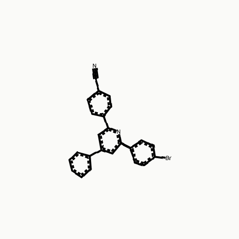 N#Cc1ccc(-c2cc(-c3ccccc3)cc(-c3ccc(Br)cc3)n2)cc1